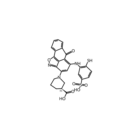 O=C1c2ccccc2-c2onc3c(N4CCC[C@H](C(=O)O)C4)cc(Nc4cc(S(=O)(=O)O)ccc4S)c1c23